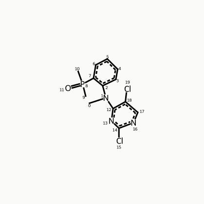 CN(c1ccccc1P(C)(C)=O)c1nc(Cl)ncc1Cl